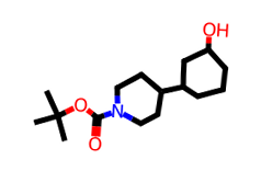 CC(C)(C)OC(=O)N1CCC(C2CCCC(O)C2)CC1